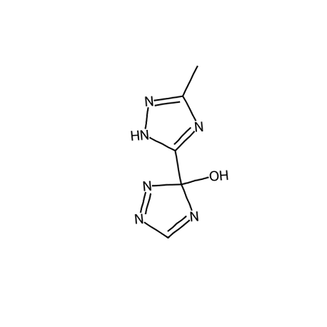 Cc1n[nH]c(C2(O)N=CN=N2)n1